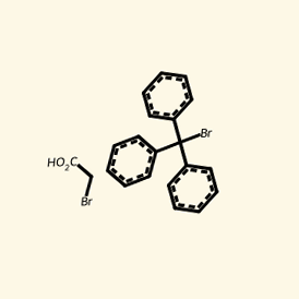 BrC(c1ccccc1)(c1ccccc1)c1ccccc1.O=C(O)CBr